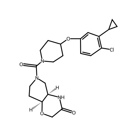 O=C1CO[C@H]2CCN(C(=O)N3CCC(Oc4ccc(Cl)c(C5CC5)c4)CC3)C[C@H]2N1